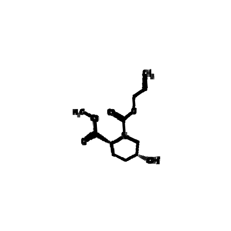 C=CCOC(=O)N1C[C@H](O)CC[C@H]1C(=O)OC